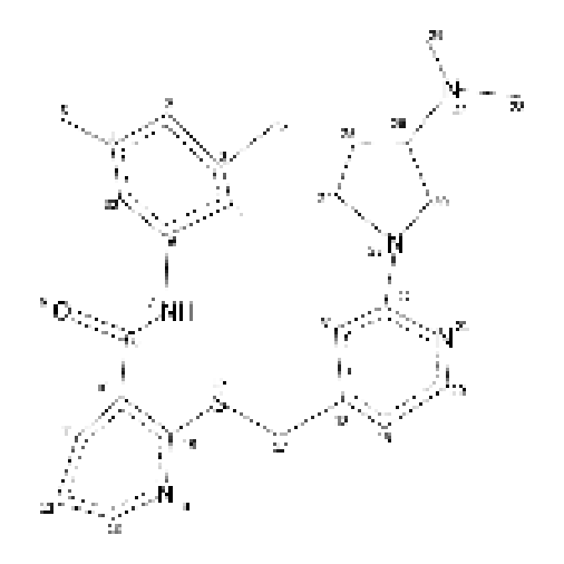 Cc1cc(C)cc(NC(=O)c2cccnc2SCc2ccnc(N3CCC(N(C)C)C3)c2)c1